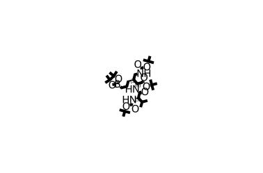 CC(C)[C@H](NC(=O)OC(C)(C)C)C(=O)N[C@H](C(=O)OC(C)(C)C)[C@@H](CCCB1OC(C)(C)C(C)(C)O1)CNC(=O)OC(C)(C)C